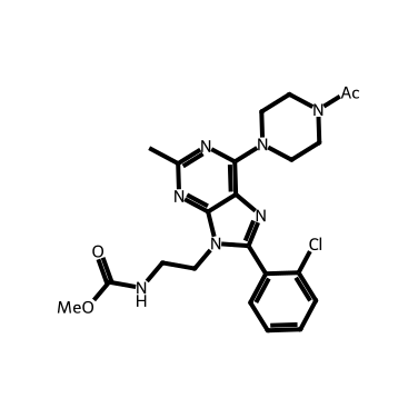 COC(=O)NCCn1c(-c2ccccc2Cl)nc2c(N3CCN(C(C)=O)CC3)nc(C)nc21